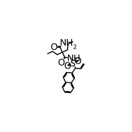 C=CC(c1ccc2ccccc2c1)S(=O)(=O)NC(=O)C(CCC)(CCC)C(N)=O